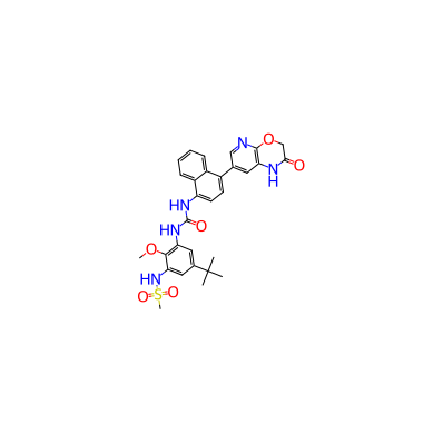 COc1c(NC(=O)Nc2ccc(-c3cnc4c(c3)NC(=O)CO4)c3ccccc23)cc(C(C)(C)C)cc1NS(C)(=O)=O